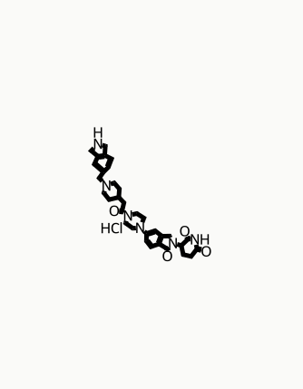 Cl.O=C1CCC(N2Cc3cc(N4CCN(C(=O)CC5CCN(Cc6ccc7c(c6)CNC7)CC5)CC4)ccc3C2=O)C(=O)N1